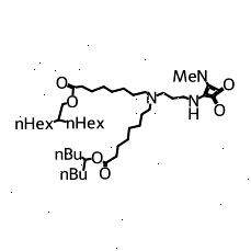 CCCCCCC(CCCCCC)COC(=O)CCCCCCCN(CCCCCCCC(=O)OC(CCCC)CCCC)CCCNc1c(NC)c(=O)c1=O